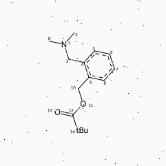 CN(C)Cc1ccccc1COC(=O)C(C)(C)C